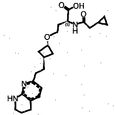 O=C(CC1CC1)N[C@@H](CCO[C@H]1C[C@H](CCc2ccc3c(n2)NCCC3)C1)C(=O)O